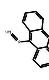 N=Nc1c2ccccc2cc2ccccc12